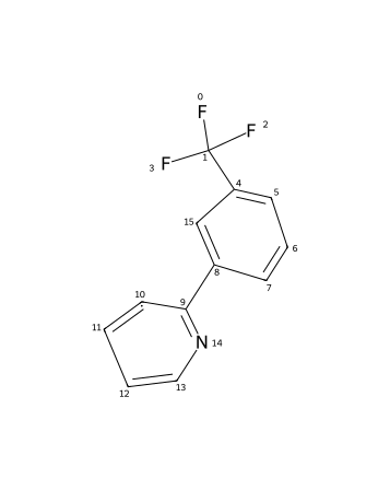 FC(F)(F)c1cccc(-c2[c]cccn2)c1